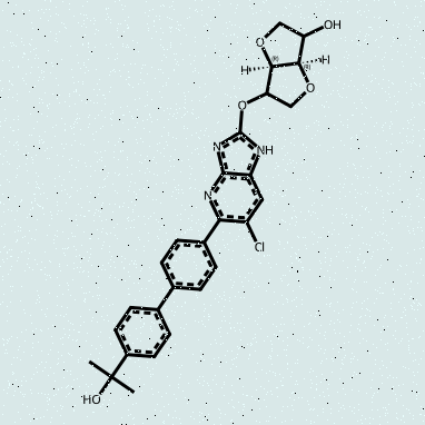 CC(C)(O)c1ccc(-c2ccc(-c3nc4nc(OC5CO[C@@H]6C(O)CO[C@H]56)[nH]c4cc3Cl)cc2)cc1